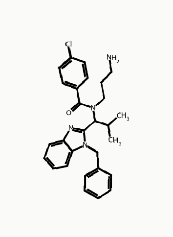 CC(C)C(c1nc2ccccc2n1Cc1ccccc1)N(CCCN)C(=O)c1ccc(Cl)cc1